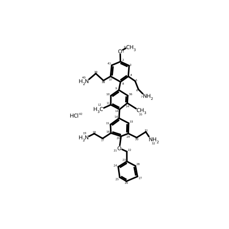 COc1cc(CCN)c(-c2cc(C)c(-c3cc(CCN)c(OCc4ccccc4)c(CCN)c3)c(C)c2)c(CCN)c1.Cl